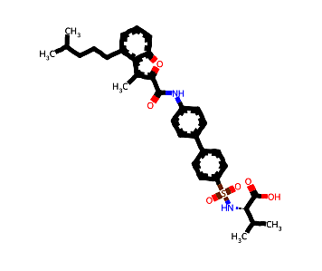 Cc1c(C(=O)Nc2ccc(-c3ccc(S(=O)(=O)N[C@H](C(=O)O)C(C)C)cc3)cc2)oc2cccc(CCCC(C)C)c12